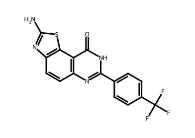 Nc1nc2ccc3nc(-c4ccc(C(F)(F)F)cc4)[nH]c(=O)c3c2s1